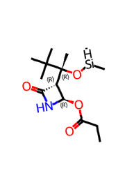 CCC(=O)O[C@H]1NC(=O)[C@@H]1[C@@](C)(O[SiH](C)C)C(C)(C)C